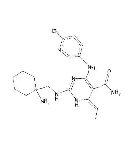 CC=C1NC(NCC2(N)CCCCC2)=NC(Nc2ccc(Cl)nc2)=C1C(N)=O